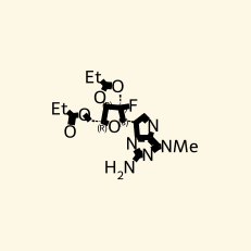 CCC(=O)OC[C@H]1O[C@@H](C2C=Nc3c(NC)nc(N)nc32)[C@](C)(F)[C@@H]1OC(=O)CC